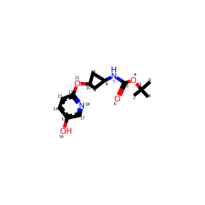 CC(C)(C)OC(=O)NC1CC(Oc2ccc(O)cn2)C1